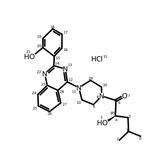 CC(C)C[C@@H](O)C(=O)N1CCN(c2nc(-c3ccccc3O)nc3ccccc23)CC1.Cl